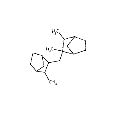 CC1C2CCC(C2)C1CC1(C)C2CCC(C2)C1C